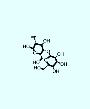 OC[C@H]1O[C@@H](O[C@H]2[C@H](O)[C@@H]([18F])C(O)O[C@@H]2CO)[C@H](O)[C@@H](O)[C@H]1O